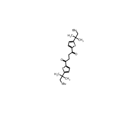 CC(C)(C)CC(C)(C)c1ccc(C(=O)CCC(=O)c2ccc(C(C)(C)CC(C)(C)C)s2)s1